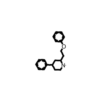 c1ccc(OCCC2CC(c3ccccc3)CC[N]2)cc1